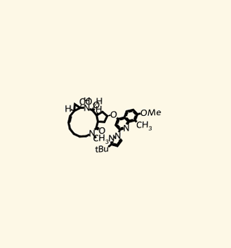 COc1ccc2c(O[C@H]3CC4C(=O)N(C)CCCC/C=C\[C@@H]5C[C@@]5(C(=O)O)NC(=O)[C@@H]4C3)cc(-n3ccc(C(C)(C)C)n3)nc2c1C